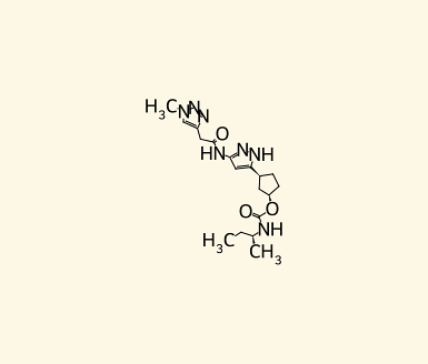 CC[C@H](C)NC(=O)O[C@@H]1CC[C@H](c2cc(NC(=O)Cc3cn(C)nn3)n[nH]2)C1